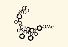 COc1ccc(N2Cc3cnc(N(C(=O)OCOC(=O)C4CCN(OC(=O)C(F)(F)F)CC4)c4ccccc4)nc3N(c3ccccc3)C2=O)cc1